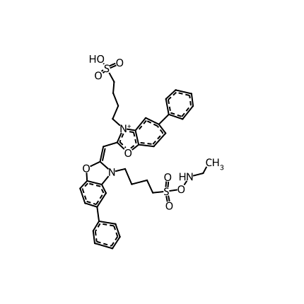 CCNOS(=O)(=O)CCCCN1C(=Cc2oc3ccc(-c4ccccc4)cc3[n+]2CCCCS(=O)(=O)O)Oc2ccc(-c3ccccc3)cc21